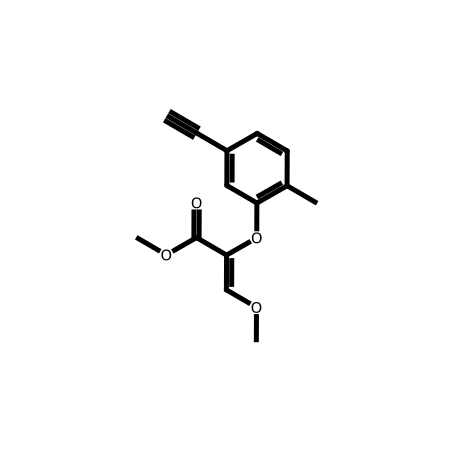 C#Cc1ccc(C)c(O/C(=C\OC)C(=O)OC)c1